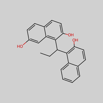 CCC(c1c(O)ccc2ccccc12)c1c(O)ccc2ccc(O)cc12